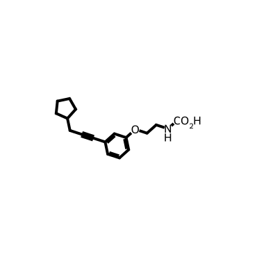 O=C(O)NCCOc1cccc(C#CCC2CCCC2)c1